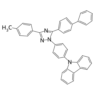 Cc1ccc(-c2nc(-c3ccc(-c4ccccc4)cc3)n(-c3ccc(-n4c5ccccc5c5ccccc54)cc3)n2)cc1